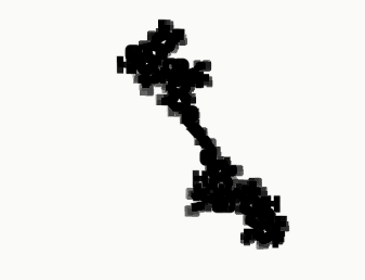 CC[C@H](NC)C(=O)N[C@@H](Cc1c(C)cc(OCC#CC#CCOc2cc(C)c(C[C@H](NC(=O)[C@H](CC)NC)C(=O)N3CC(C)(C)c4[nH]c(=O)c(Cc5cc(F)c(F)cc5F)cc43)c(C)c2)cc1C)C(=O)N1CC(C)(C)c2[nH]c(=O)c(Cc3cc(F)c(F)cc3F)cc21